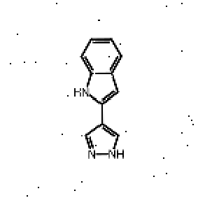 [c]1n[nH]cc1-c1cc2ccccc2[nH]1